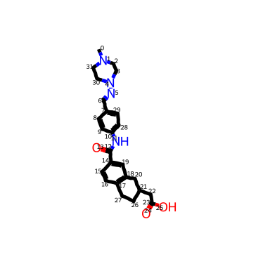 CN1CCN(N=Cc2ccc(NC(=O)c3ccc4c(c3)CC(CC(=O)O)CC4)cc2)CC1